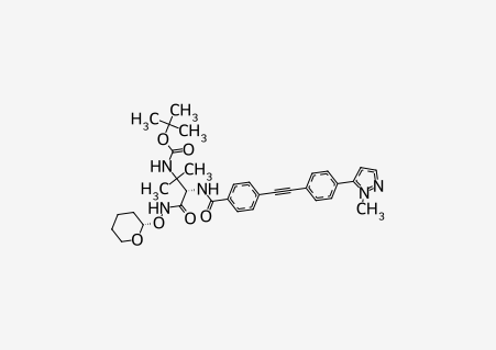 Cn1nccc1-c1ccc(C#Cc2ccc(C(=O)N[C@H](C(=O)NO[C@H]3CCCCO3)C(C)(C)NC(=O)OC(C)(C)C)cc2)cc1